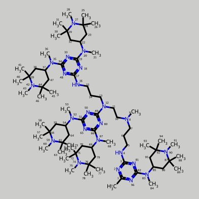 Cc1nc(NCCCN(C)CCN(CCCNc2nc(N(C)C3CC(C)(C)N(C)C(C)(C)C3)nc(N(C)C3CC(C)(C)N(C)C(C)(C)C3)n2)c2nc(N(C)C3CC(C)(C)N(C)C(C)(C)C3)nc(N(C)C3CC(C)(C)N(C)C(C)(C)C3)n2)nc(N(C)C2CC(C)(C)N(C)C(C)(C)C2)n1